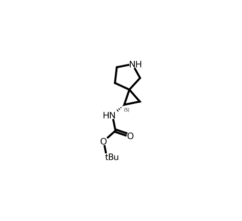 CC(C)(C)OC(=O)N[C@H]1CC12CCNC2